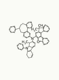 CC1C(N(c2ccc3c(c2)-c2ccccc2CCC(c2ccccc2)C3)c2cc3c(c4c2oc2ccccc24)-c2ccccc2C3(C)C)=CC=C2C3=C(CCC=C3)N(c3ccccc3)C21